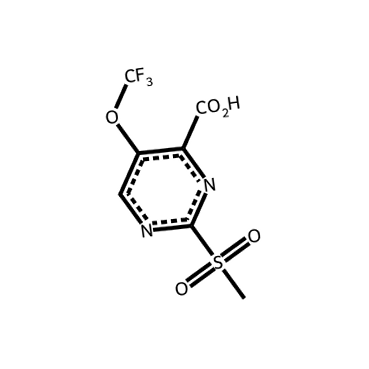 CS(=O)(=O)c1ncc(OC(F)(F)F)c(C(=O)O)n1